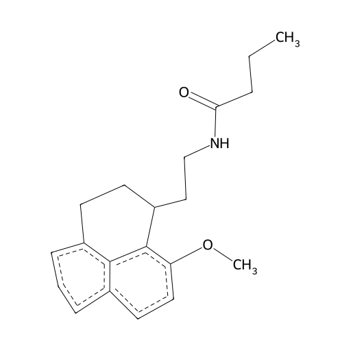 CCCC(=O)NCCC1CCc2cccc3ccc(OC)c1c23